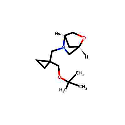 CC(C)(C)OCC1(CN2C[C@H]3C[C@@H]2CO3)CC1